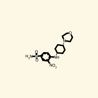 NS(=O)(=O)c1ccc(N[C@H]2CC[C@@H](N3CCOCC3)CC2)c([N+](=O)[O-])c1